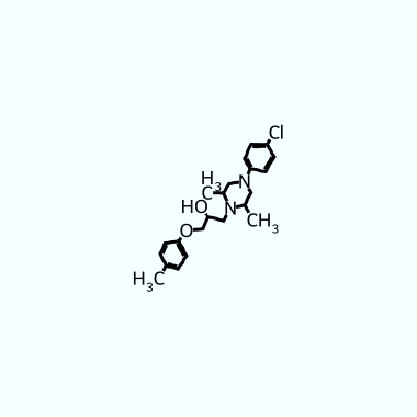 Cc1ccc(OC[C@@H](O)CN2C(C)CN(c3ccc(Cl)cc3)CC2C)cc1